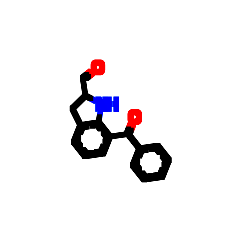 O=CC1Cc2cccc(C(=O)c3ccccc3)c2N1